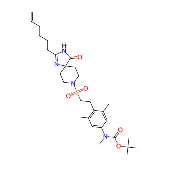 C=CCCCCC1=NC2(CCN(S(=O)(=O)CCc3c(C)cc(N(C)C(=O)OC(C)(C)C)cc3C)CC2)C(=O)N1